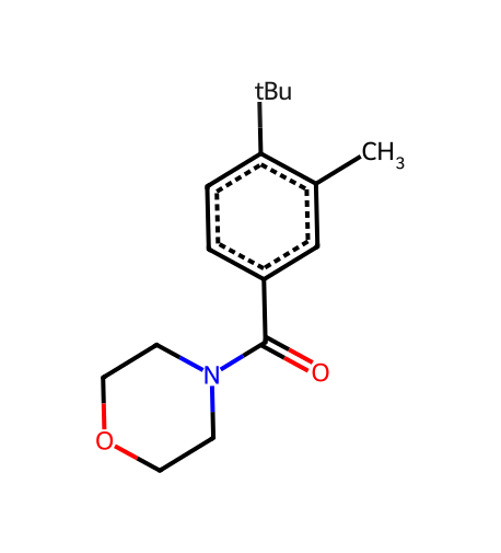 Cc1cc(C(=O)N2CCOCC2)ccc1C(C)(C)C